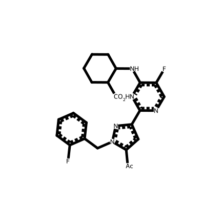 CC(=O)c1cc(-c2ncc(F)c(NC3CCCCC3C(=O)O)n2)nn1Cc1ccccc1F